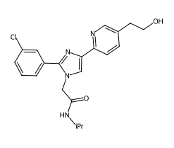 CC(C)NC(=O)Cn1cc(-c2ccc(CCO)cn2)nc1-c1cccc(Cl)c1